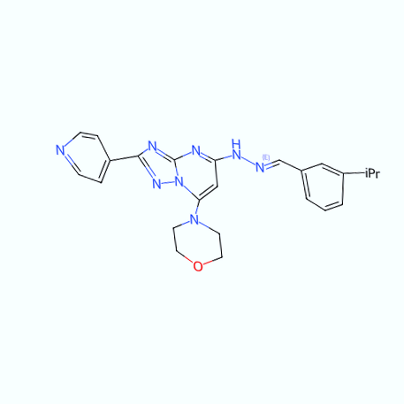 CC(C)c1cccc(/C=N/Nc2cc(N3CCOCC3)n3nc(-c4ccncc4)nc3n2)c1